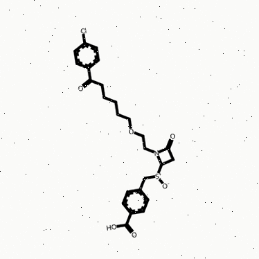 O=C(O)c1ccc(C[S+]([O-])C2CC(=O)N2CCOCCCCCC(=O)c2ccc(Cl)cc2)cc1